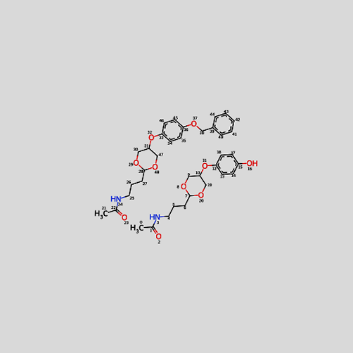 CC(=O)NCCCC1OCC(Oc2ccc(O)cc2)CO1.CC(=O)NCCCC1OCC(Oc2ccc(OCc3ccccc3)cc2)CO1